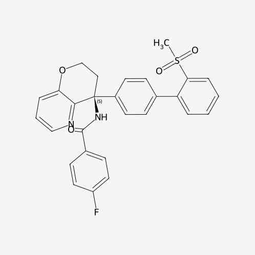 CS(=O)(=O)c1ccccc1-c1ccc([C@@]2(NC(=O)c3ccc(F)cc3)CCOc3cccnc32)cc1